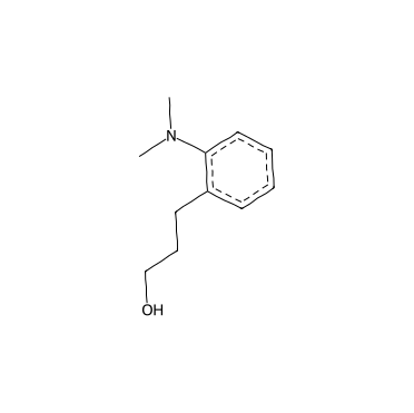 CN(C)c1ccccc1CCCO